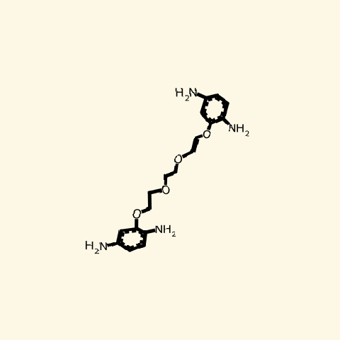 Nc1ccc(N)c(OC=COCCOCCOc2cc(N)ccc2N)c1